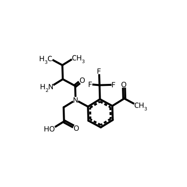 CC(=O)c1cccc(N(CC(=O)O)C(=O)C(N)C(C)C)c1C(F)(F)F